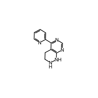 c1ccc(-c2ncnc3c2CCNN3)nc1